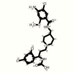 COc1cc(N)c(Cl)cc1C(=O)NCC1CCN(CCC(NC(=O)O)c2ccc(Cl)cc2Cl)CC1